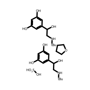 C1CCOC1.CC(C)(C)NCC(O)c1cc(O)cc(O)c1.CC(C)(C)NCC(O)c1cc(O)cc(O)c1.O=S(=O)(O)O